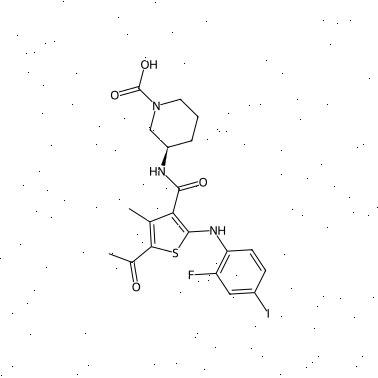 CC(=O)c1sc(Nc2ccc(I)cc2F)c(C(=O)N[C@@H]2CCCN(C(=O)O)C2)c1C